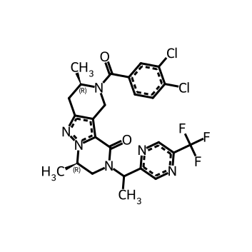 CC(c1cnc(C(F)(F)F)cn1)N1C[C@@H](C)n2nc3c(c2C1=O)CN(C(=O)c1ccc(Cl)c(Cl)c1)[C@H](C)C3